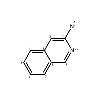 [N]c1cc2ccccc2cn1